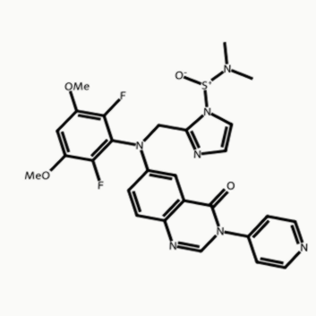 COc1cc(OC)c(F)c(N(Cc2nccn2[S+]([O-])N(C)C)c2ccc3ncn(-c4ccncc4)c(=O)c3c2)c1F